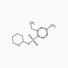 CCc1cc(C)ccc1S(=O)(=O)OC1CCCCO1